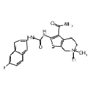 CC[N+]1(C)CCc2c(sc(NC(=O)Nc3ccc4cc(F)ccc4c3)c2C(N)=O)C1